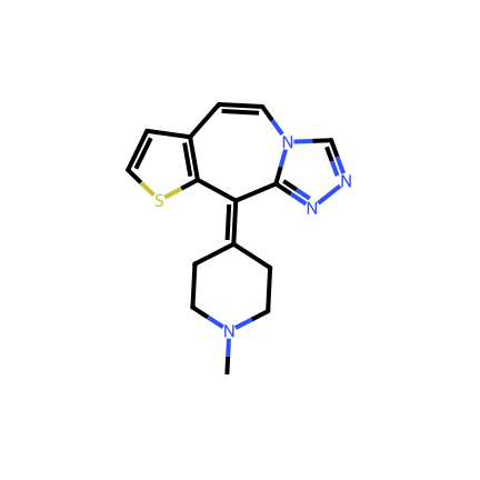 CN1CCC(=C2c3sccc3C=Cn3cnnc32)CC1